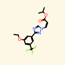 CCOc1cc(-c2ncn(/C=C\C(=O)OC(C)C)n2)cc(C(F)(F)F)c1